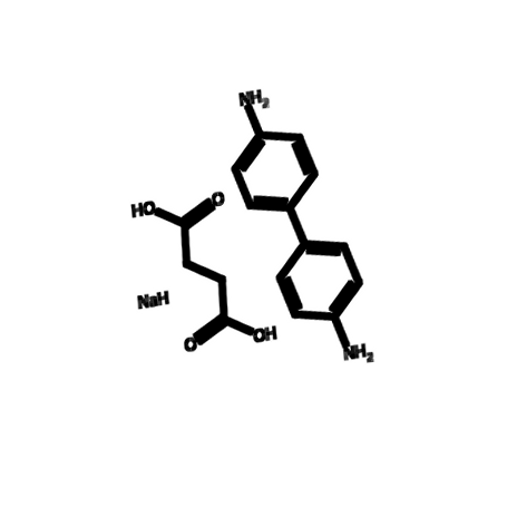 Nc1ccc(-c2ccc(N)cc2)cc1.O=C(O)CCC(=O)O.[NaH]